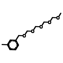 COCOCOCOCOCc1cccc(C)c1